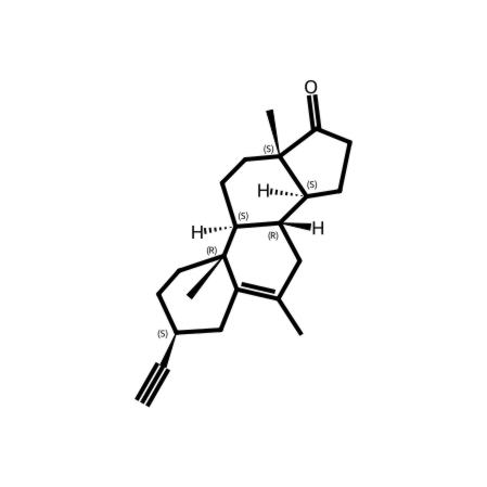 C#C[C@H]1CC[C@@]2(C)C(=C(C)C[C@@H]3[C@@H]2CC[C@]2(C)C(=O)CC[C@@H]32)C1